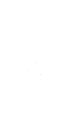 C=C(/C=C(/C1=CC(Cl)=C[C@@H](Cl)C1)C(F)(F)F)c1ccc(S)c(Br)c1